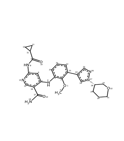 COc1c(Nc2cc(NC(=O)C3CC3)ncc2C(N)=O)cccc1-c1cnn([C@H]2CCCOC2)c1